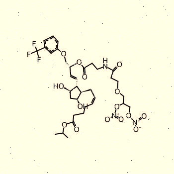 CC(C)OC(=O)CCC/C=C\C[C@@H]1[C@@H](/C=C/[C@H](COc2cccc(C(F)(F)F)c2)OC(=O)CCNC(=O)CCOCC(CO[N+](=O)[O-])O[N+](=O)[O-])[C@H](O)C[C@@H]1O